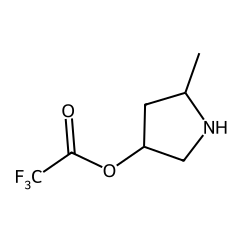 CC1CC(OC(=O)C(F)(F)F)CN1